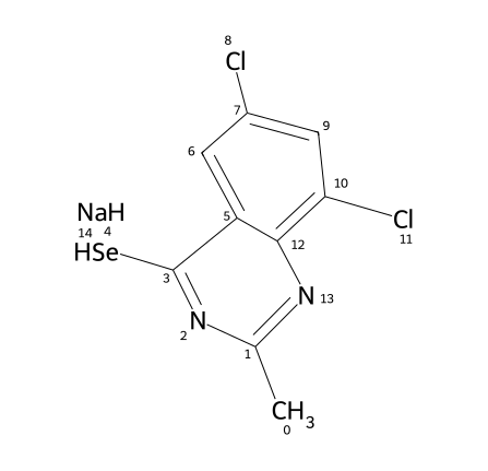 Cc1nc([SeH])c2cc(Cl)cc(Cl)c2n1.[NaH]